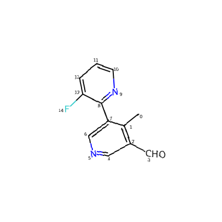 Cc1c(C=O)cncc1-c1ncccc1F